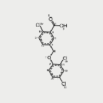 O=C(O)c1cc(COc2ccc(Cl)cc2Cl)ccc1Cl